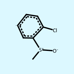 C[S+]([O-])c1c[c]ccc1Cl